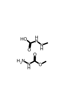 CNNC(=O)O.COC(=O)NN